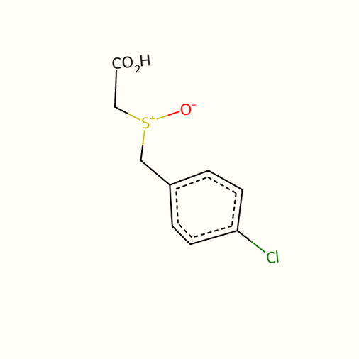 O=C(O)C[S+]([O-])Cc1ccc(Cl)cc1